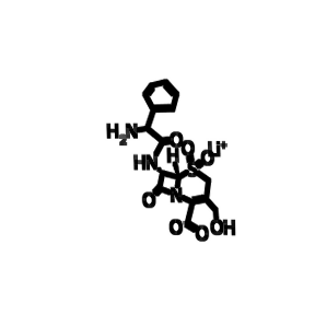 NC(C(=O)N[C@H]1C(=O)N2C(C(=O)[O-])=C(CO)CS(=O)(=O)[C@@H]12)c1ccccc1.[Li+]